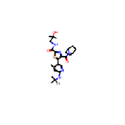 CCC(C)(C)Nc1cc(C)c(-c2sc(C(=O)NCC(C)(C)O)nc2C(=O)N2C3CCC2CC3)cn1